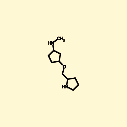 CNC1CCC(OCC2CCCN2)C1